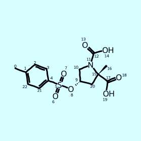 Cc1ccc(S(=O)(=O)O[C@@H]2CN(C(=O)O)[C@](C)(C(=O)O)C2)cc1